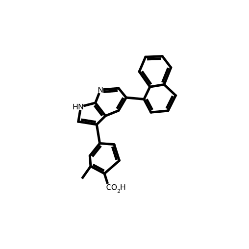 Cc1cc(-c2c[nH]c3ncc(-c4cccc5ccccc45)cc23)ccc1C(=O)O